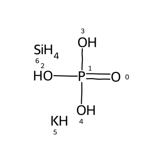 O=P(O)(O)O.[KH].[SiH4]